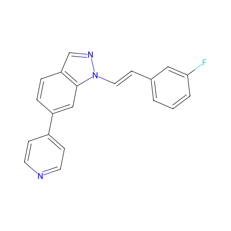 Fc1cccc(C=Cn2ncc3ccc(-c4ccncc4)cc32)c1